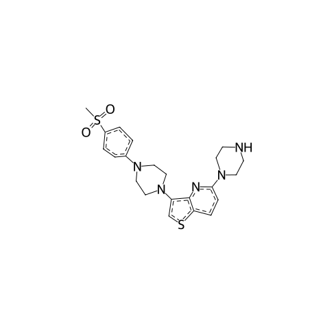 CS(=O)(=O)c1ccc(N2CCN(c3csc4ccc(N5CCNCC5)nc34)CC2)cc1